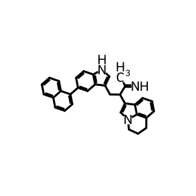 CC(=N)C(Cc1c[nH]c2ccc(-c3cccc4ccccc34)cc12)c1cn2c3c(cccc13)CCC2